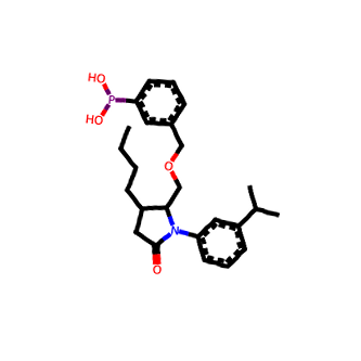 CCCCC1CC(=O)N(c2cccc(C(C)C)c2)C1COCc1cccc(P(O)O)c1